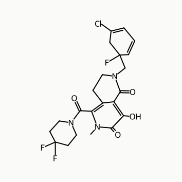 Cn1c(C(=O)N2CCC(F)(F)CC2)c2c(c(O)c1=O)C(=O)N(CC1(F)C=CC=C(Cl)C1)CC2